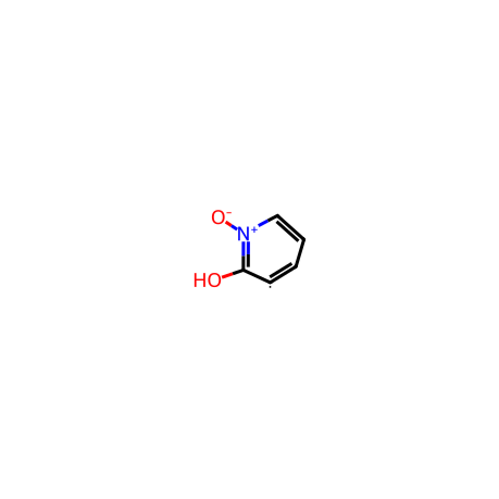 [O-][n+]1ccc[c]c1O